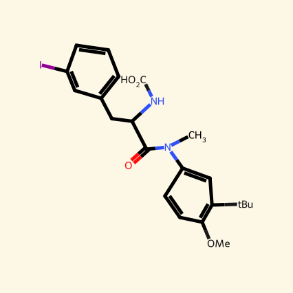 COc1ccc(N(C)C(=O)C(Cc2cccc(I)c2)NC(=O)O)cc1C(C)(C)C